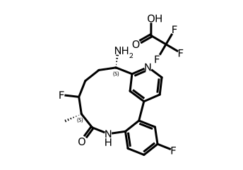 C[C@H]1C(=O)Nc2ccc(F)cc2-c2ccnc(c2)[C@@H](N)CCC1F.O=C(O)C(F)(F)F